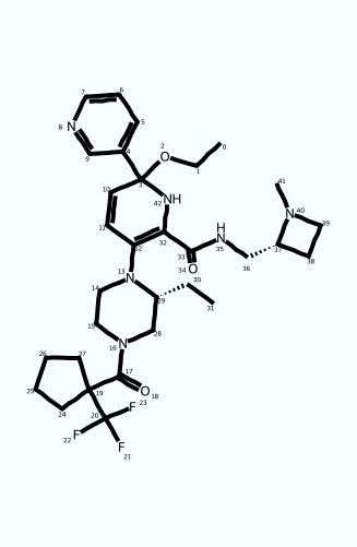 CCOC1(c2cccnc2)C=CC(N2CCN(C(=O)C3(C(F)(F)F)CCCC3)C[C@H]2CC)=C(C(=O)NC[C@H]2CCN2C)N1